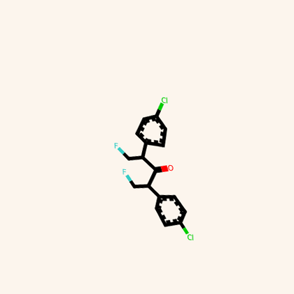 O=C(C(CF)c1ccc(Cl)cc1)C(CF)c1ccc(Cl)cc1